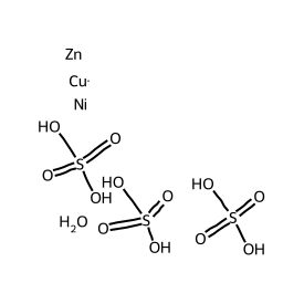 O.O=S(=O)(O)O.O=S(=O)(O)O.O=S(=O)(O)O.[Cu].[Ni].[Zn]